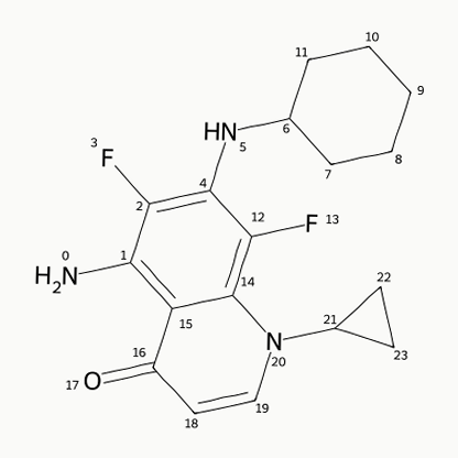 Nc1c(F)c(NC2CCCCC2)c(F)c2c1c(=O)ccn2C1CC1